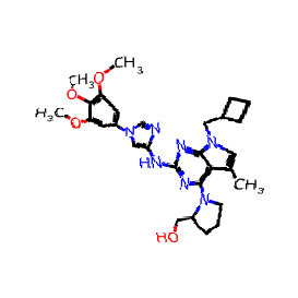 COc1cc(-n2cnc(Nc3nc(N4CCC[C@H]4CO)c4c(C)cn(CC5CCC5)c4n3)c2)cc(OC)c1OC